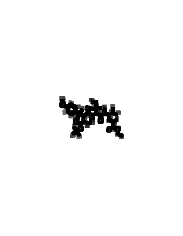 CCOC(=O)/C(C)=C/[C@H](C(C)C)N(C)C(=O)[C@@H](NC(=O)[C@@H](N(C)C(=O)OC(C)(C)C)C(C)(C)c1ccc(OC)cc1)C(C)(C)SC